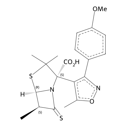 COc1ccc(-c2noc(C)c2[C@@]2(C(=O)O)N3C(=S)[C@@H](C)[C@H]3SC2(C)C)cc1